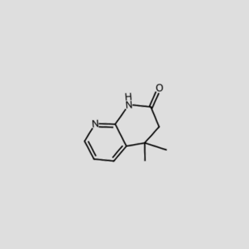 CC1(C)CC(=O)Nc2ncccc21